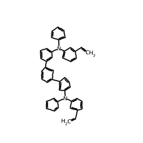 C=Cc1cccc(N(c2ccccc2)c2cccc(-c3cccc(-c4cccc(N(c5ccccc5)c5cccc(C=C)c5)c4)c3)c2)c1